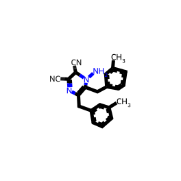 Cc1cccc(CC2=C(Cc3cccc(C)c3)N(N)C(C#N)C(C#N)=N2)c1